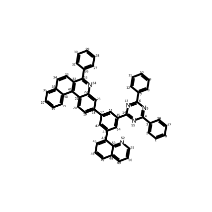 c1ccc(-c2nc(-c3ccccc3)nc(-c3cc(-c4ccc5c(c4)nc(-c4ccccc4)c4ccc6ccccc6c45)cc(-c4cccc5cccnc45)c3)n2)cc1